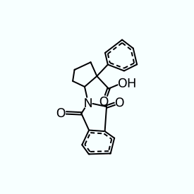 O=C1c2ccccc2C(=O)N1C1CCCC1(C(=O)O)c1ccccc1